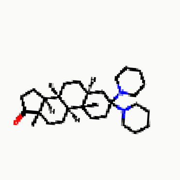 C[C@]12CCC(N3CCCCC3)(N3CCCCC3)C[C@@H]1CC[C@@H]1[C@@H]2CC[C@]2(C)C(=O)CC[C@@H]12